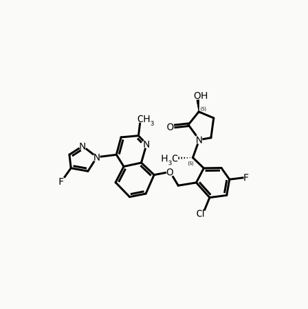 Cc1cc(-n2cc(F)cn2)c2cccc(OCc3c(Cl)cc(F)cc3[C@H](C)N3CC[C@H](O)C3=O)c2n1